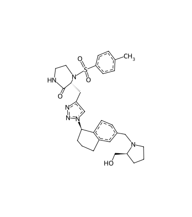 Cc1ccc(S(=O)(=O)N2CCNC(=O)[C@H]2Cc2cn([C@@H]3CCCc4cc(CN5CCC[C@H]5CO)ccc43)nn2)cc1